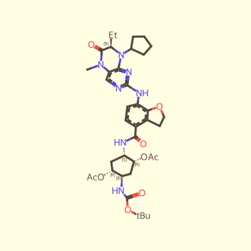 CC[C@@H]1C(=O)N(C)c2cnc(Nc3ccc(C(=O)N[C@H]4C[C@@H](OC(C)=O)[C@H](NC(=O)OC(C)(C)C)C[C@H]4OC(C)=O)c4c3OCC4)nc2N1C1CCCC1